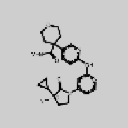 CNC(=O)C1(c2ccc(Nc3cc(N4CC[C@@](C#N)(C5CC5)C4=O)ccn3)nc2)CCOCC1